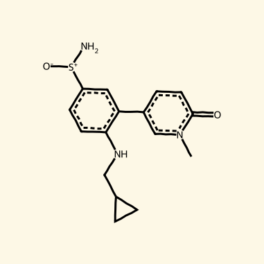 Cn1cc(-c2cc([S+](N)[O-])ccc2NCC2CC2)ccc1=O